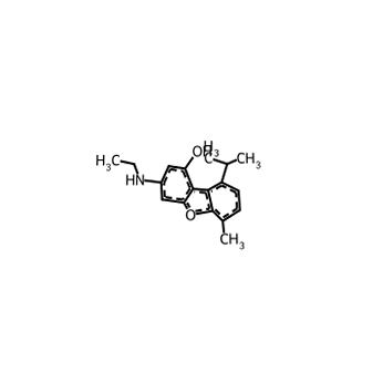 CCNc1cc(O)c2c(c1)oc1c(C)ccc(C(C)C)c12